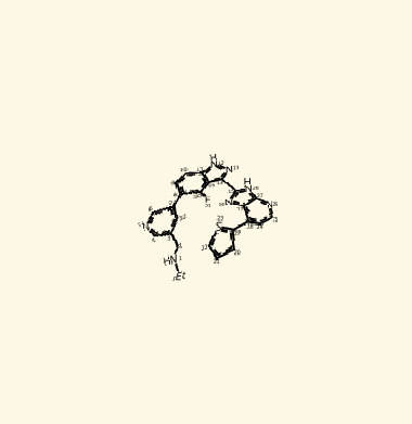 CCNCc1cncc(-c2ccc3[nH]nc(-c4nc5c(-c6cccs6)ccnc5[nH]4)c3c2F)c1